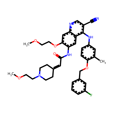 COCCOc1cc2ncc(C#N)c(Nc3ccc(OCc4cccc(F)c4)c(C)c3)c2cc1NC(=O)C=C1CCN(CCOC)CC1